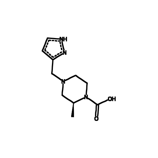 C[C@H]1CN(Cc2cc[nH]n2)CCN1C(=O)O